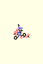 C=CCNC(=O)C1N(C(=O)[C@@H](OC(C)=O)[C@H](Cc2ccccc2)NC(=O)c2cccc(OC(C)=O)c2C)CSC1(C)C